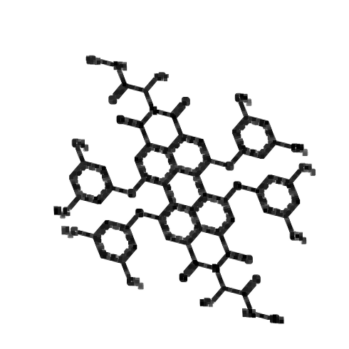 CCCC(C(=O)NC(C)(C)C)N1C(=O)c2cc(Oc3cc(C)cc(C)c3)c3c4c(Oc5cc(C)cc(C)c5)cc5c6c(cc(Oc7cc(C)cc(C)c7)c(c7c(Oc8cc(C)cc(C)c8)cc(c2c37)C1=O)c64)C(=O)N(C(CCC)C(=O)NC(C)(C)C)C5=O